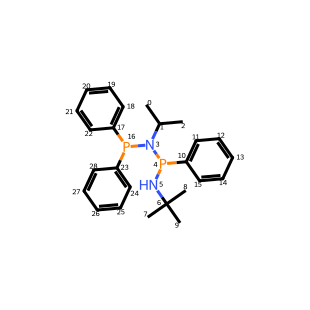 CC(C)N(P(NC(C)(C)C)c1ccccc1)P(c1ccccc1)c1ccccc1